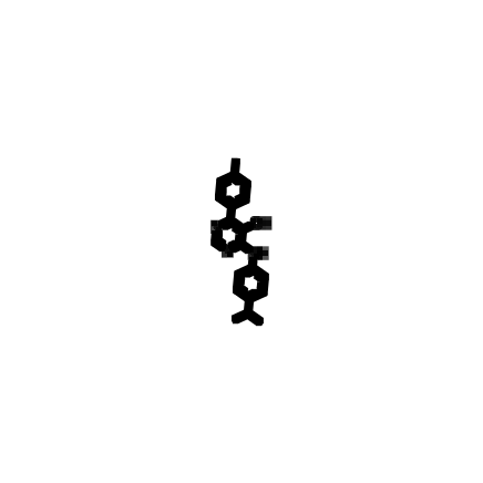 Cc1ccc(-c2ncnc(Nc3ccc(C(C)C)cc3)c2O)cc1